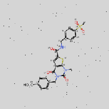 Cn1c(=O)n(Cc2ccc(C(=O)O)cc2)c(=O)c2cc(C(=O)NCc3ccc(S(C)(=O)=O)cc3)sc21